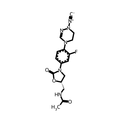 [C-]#[N+]N1CCN(c2ccc(N3C[C@H](CNC(C)=O)OC3=O)cc2F)C=N1